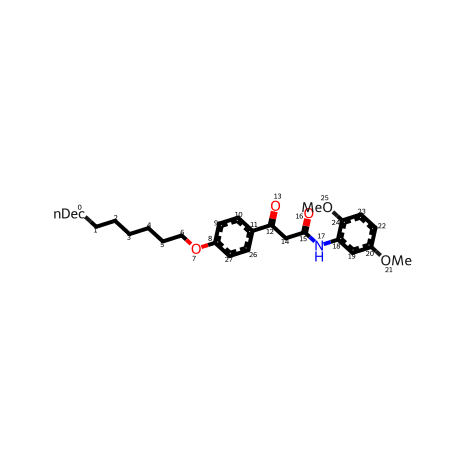 CCCCCCCCCCCCCCCCOc1ccc(C(=O)CC(=O)Nc2cc(OC)ccc2OC)cc1